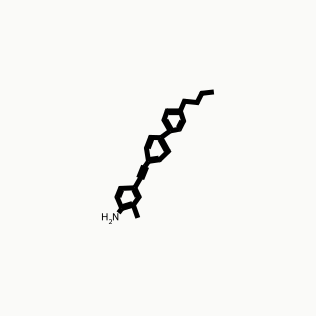 CCCCc1ccc(-c2ccc(C#Cc3ccc(N)c(C)c3)cc2)cc1